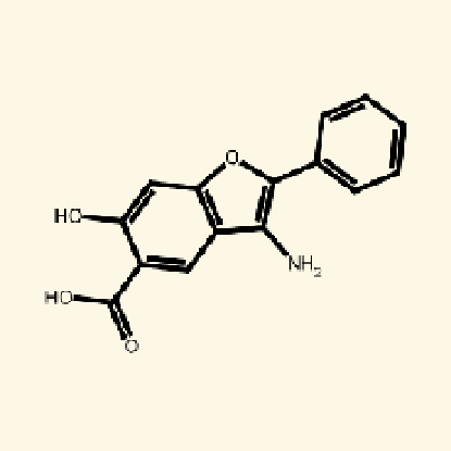 Nc1c(-c2ccccc2)oc2cc(O)c(C(=O)O)cc12